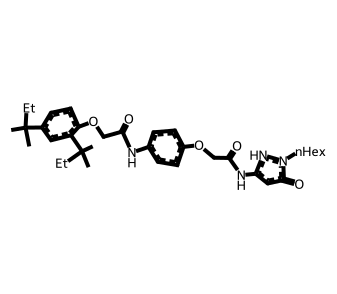 CCCCCCn1[nH]c(NC(=O)COc2ccc(NC(=O)COc3ccc(C(C)(C)CC)cc3C(C)(C)CC)cc2)cc1=O